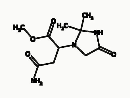 COC(=O)C(CC(N)=O)N1CC(=O)NC1(C)C